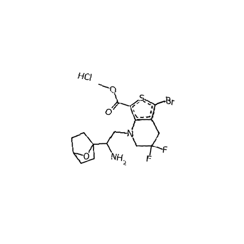 COC(=O)c1sc(Br)c2c1N(CC(N)C13CCC(CC1)O3)CC(F)(F)C2.Cl